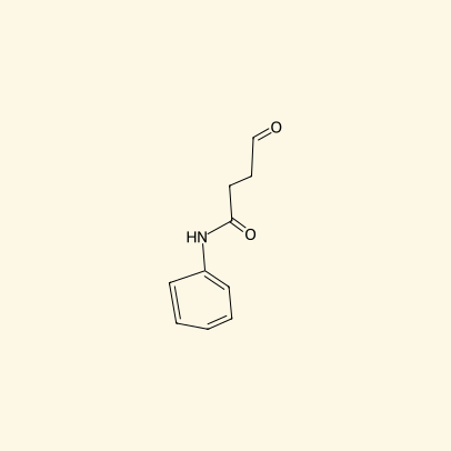 O=CCCC(=O)Nc1ccccc1